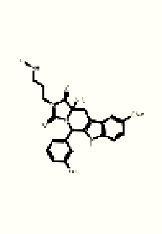 COc1ccc2[nH]c3c(c2c1)CC1(C)C(=O)N(CCCNC(C)C)C(=O)N1C3c1cccc(O)c1